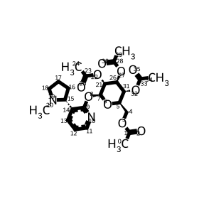 CC(=O)OC[C@H]1O[C@@H](Oc2ncccc2[C@H]2CCCN2C)[C@H](OC(C)=O)[C@@H](OC(C)=O)[C@@H]1OC(C)=O